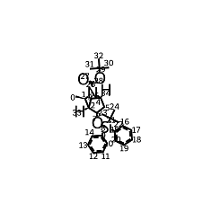 C[C@@H]1[C@@H]2C[C@@H](C[C@H]2O[Si](c2ccccc2)(c2ccccc2)C(C)(C)C)N1C(=O)OC(C)(C)C